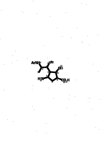 CCCC(C(C)NC(C)=O)C1C(N)C[C@H](C(=O)O)C1O